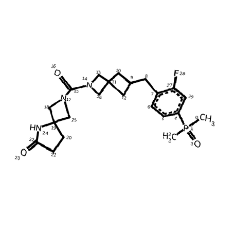 CP(C)(=O)c1ccc(CC2CC3(C2)CN(C(=O)N2CC4(CCC(=O)N4)C2)C3)c(F)c1